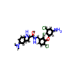 CN(C)c1ccc2[nH]c(C(=O)NCc3ccc(Cl)c(Oc4cc(N)cc(Cl)c4)c3F)cc2c1